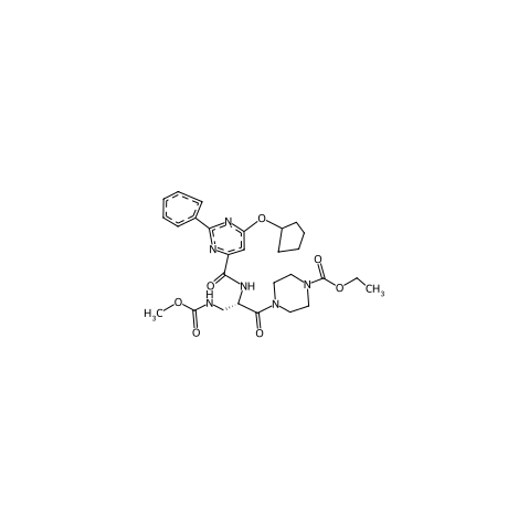 CCOC(=O)N1CCN(C(=O)[C@H](CNC(=O)OC)NC(=O)c2cc(OC3CCCC3)nc(-c3ccccc3)n2)CC1